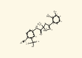 [C-]#[N+]c1ccc(NC(=O)C2(C)CC(c3cccc(F)c3O)=NN2)cc1C(F)(F)F